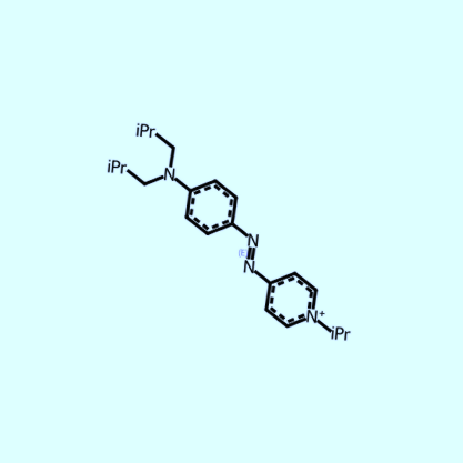 CC(C)CN(CC(C)C)c1ccc(/N=N/c2cc[n+](C(C)C)cc2)cc1